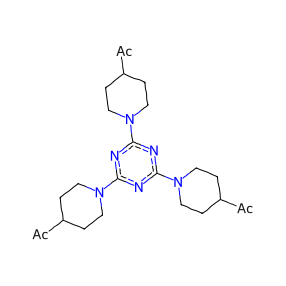 CC(=O)C1CCN(c2nc(N3CCC(C(C)=O)CC3)nc(N3CCC(C(C)=O)CC3)n2)CC1